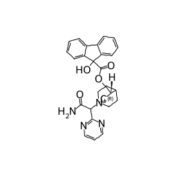 NC(=O)C(c1ncccn1)[N+]12CCC(CC1)[C@@H](OC(=O)C1(O)c3ccccc3-c3ccccc31)C2